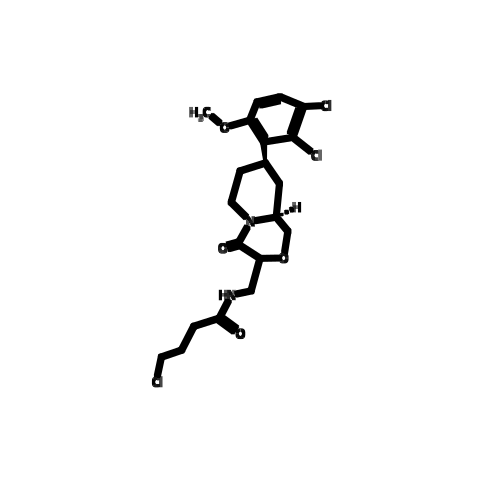 COc1ccc(Cl)c(Cl)c1[C@@H]1CCN2C(=O)C(CNC(=O)CCCCl)OC[C@@H]2C1